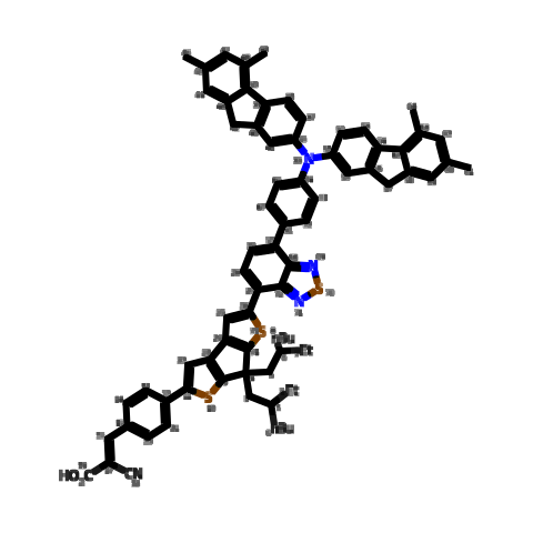 CCCCC(CC)CC1(CC(CC)CCCC)c2sc(-c3ccc(/C=C(\C#N)C(=O)O)cc3)cc2-c2cc(-c3ccc(-c4ccc(N(c5ccc6c(c5)Cc5cc(C)cc(C)c5-6)c5ccc6c(c5)Cc5cc(C)cc(C)c5-6)cc4)c4nsnc34)sc21